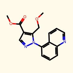 COCc1c(C(=O)OC)cnn1-c1cccc2ncccc12